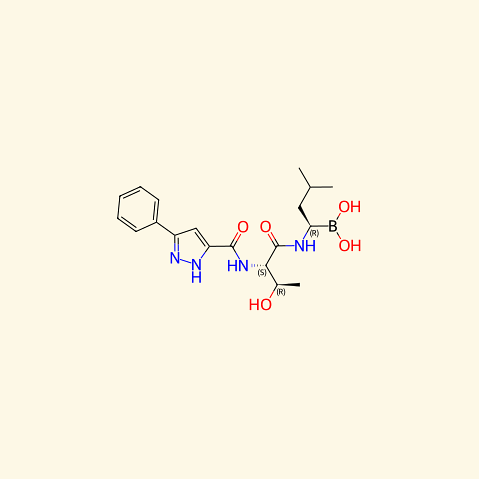 CC(C)C[C@H](NC(=O)[C@@H](NC(=O)c1cc(-c2ccccc2)n[nH]1)[C@@H](C)O)B(O)O